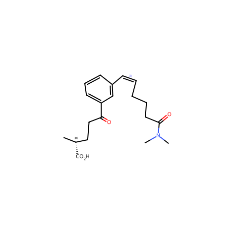 C[C@H](CCC(=O)c1cccc(/C=C\CCCC(=O)N(C)C)c1)C(=O)O